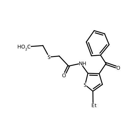 CCc1cc(C(=O)c2ccccc2)c(NC(=O)CSCC(=O)O)s1